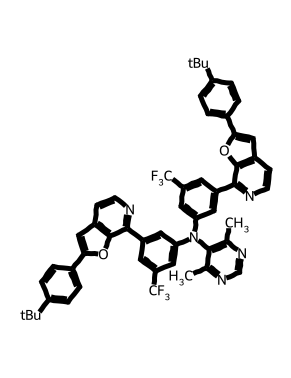 Cc1ncnc(C)c1N(c1cc(-c2nccc3cc(-c4ccc(C(C)(C)C)cc4)oc23)cc(C(F)(F)F)c1)c1cc(-c2nccc3cc(-c4ccc(C(C)(C)C)cc4)oc23)cc(C(F)(F)F)c1